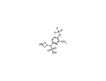 Cc1nc(C(C2CNC2)S(=O)(=O)O)ccc1OC(F)(F)F